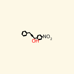 O=[N+]([O-])c1ccc(C(O)C#CCc2ccccc2)cc1